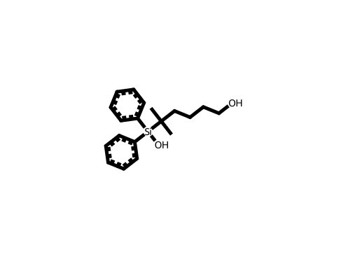 CC(C)(CCCCO)[Si](O)(c1ccccc1)c1ccccc1